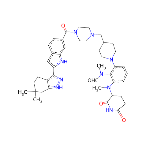 CN(C=O)c1c(N2CCC(CN3CCN(C(=O)c4ccc5cc(-c6n[nH]c7c6CCC(C)(C)C7)[nH]c5c4)CC3)CC2)cccc1N(C)C1CCC(=O)NC1=O